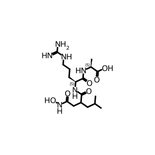 CC(C)CC(CC(=O)NO)C(=O)N[C@@H](CCCNC(=N)N)C(=O)N[C@@H](C)C(=O)O